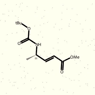 COC(=O)C=C[C@H](C)NC(=O)OC(C)(C)C